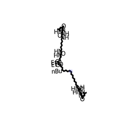 CCCCC(CCC/C=C\CCCCCCCCNC(=O)Nc1nc(=O)cc(C)[nH]1)CCO[Si](CCCNC(=O)NCCCCCCNC(=O)Nc1nc(=O)cc(C)[nH]1)(OCC)OCC